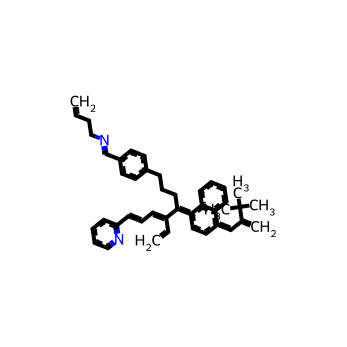 C=CCC/N=C/c1ccc(CCCC(/C(C=C)=C/C=C/c2ccccn2)=c2/cc/c(=C/C(=C)C(C)(C)C)c3ccccc23)cc1